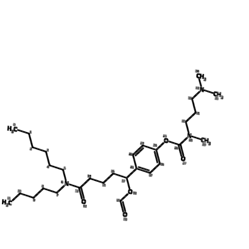 CCCCCCN(CCCCC)C(=O)CCCC(OC=O)c1ccc(OC(=O)N(C)CCCN(C)C)cc1